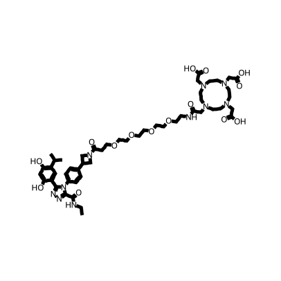 CCNC(=O)c1nnc(-c2cc(C(C)C)c(O)cc2O)n1-c1ccc(C2CN(C(=O)CCOCCOCCOCCOCCNC(=O)CN3CCN(CC(=O)O)CCN(CC(=O)O)CCN(CC(=O)O)CC3)C2)cc1